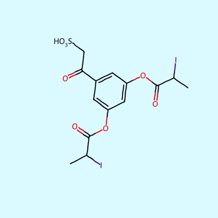 CC(I)C(=O)Oc1cc(OC(=O)C(C)I)cc(C(=O)CS(=O)(=O)O)c1